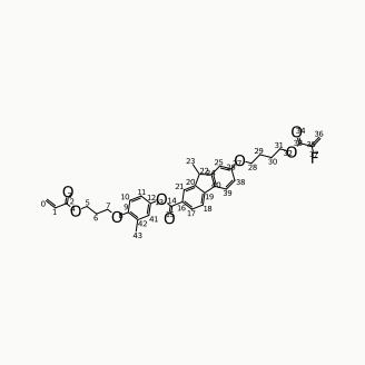 C=CC(=O)OCCCOc1ccc(OC(=O)c2ccc3c(c2)C(C)c2cc(OCCCCOC(=O)C(=C)F)ccc2-3)cc1C